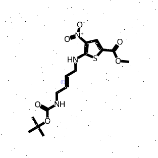 COC(=O)c1cc([N+](=O)[O-])c(NC/C=C/CNC(=O)OC(C)(C)C)s1